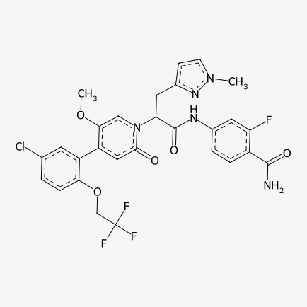 COc1cn(C(Cc2ccn(C)n2)C(=O)Nc2ccc(C(N)=O)c(F)c2)c(=O)cc1-c1cc(Cl)ccc1OCC(F)(F)F